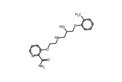 Cc1ccccc1OCC(O)CNCCOc1cccnc1C(N)=O